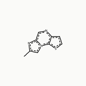 Cc1cn2c(cnc3ccsc32)n1